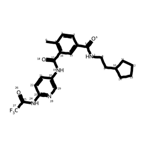 Cc1ccc(C(=O)NCCC2CCCC2)cc1C(=O)Nc1ccc(NC(=O)C(F)(F)F)nc1